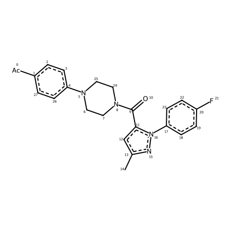 CC(=O)c1ccc(N2CCN(C(=O)c3cc(C)nn3-c3ccc(F)cc3)CC2)cc1